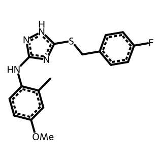 COc1ccc(Nc2n[nH]c(SCc3ccc(F)cc3)n2)c(C)c1